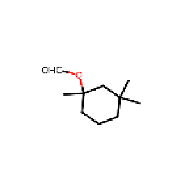 CC1(C)CCCC(C)(OC=O)C1